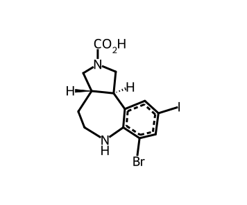 O=C(O)N1C[C@H]2CCNc3c(Br)cc(I)cc3[C@@H]2C1